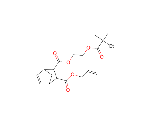 C=CCOC(=O)C1C2C=CC(C2)C1C(=O)OCCOC(=O)C(C)(C)CC